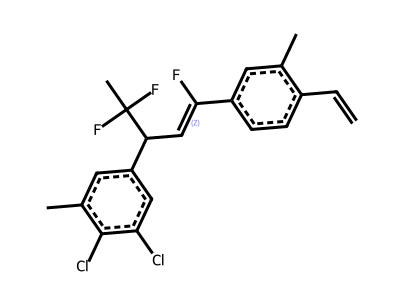 C=Cc1ccc(/C(F)=C/C(c2cc(C)c(Cl)c(Cl)c2)C(C)(F)F)cc1C